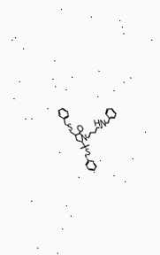 CC(C)(SCc1ccccc1)C1CC(CSCc2ccccc2)C(=O)N1CCCCCNCc1ccccc1